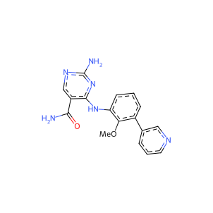 COc1c(Nc2nc(N)ncc2C(N)=O)cccc1-c1cccnc1